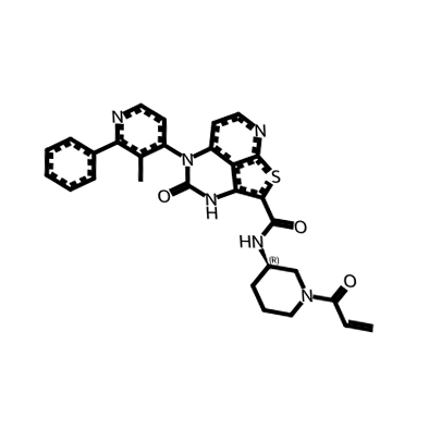 C=CC(=O)N1CCC[C@@H](NC(=O)c2sc3nccc4c3c2NC(=O)N4c2ccnc(-c3ccccc3)c2C)C1